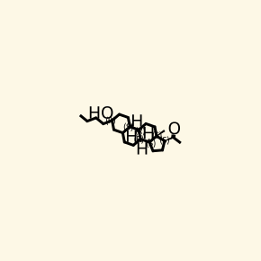 CCCC[C@@]1(O)CC[C@H]2C(CC[C@@H]3[C@@H]2CC[C@]2(C)[C@@H](C(C)=O)CC[C@@H]32)C1